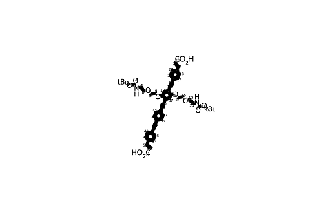 CC(C)(C)OC(=O)NCCOCCOc1cc(C#Cc2ccc(/C=C/C(=O)O)cc2)c(OCCOCCNC(=O)OC(C)(C)C)cc1C#Cc1ccc(C#Cc2ccc(/C=C/C(=O)O)cc2)cc1